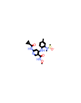 CONC(=O)c1cnc(NC(=O)C2CC2)cc1Nc1ccc(C)cc1N(C)[S+](C)[O-]